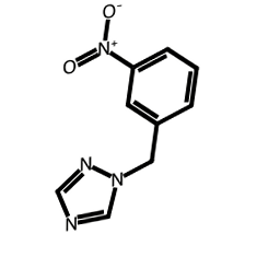 O=[N+]([O-])c1cccc(Cn2cncn2)c1